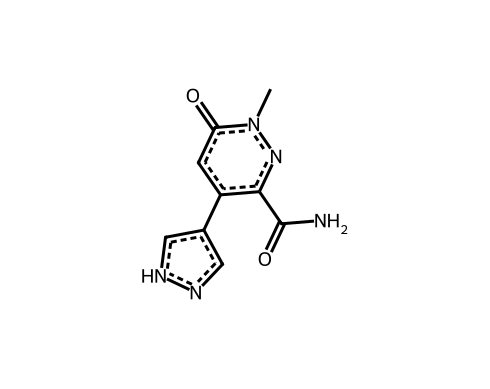 Cn1nc(C(N)=O)c(-c2cn[nH]c2)cc1=O